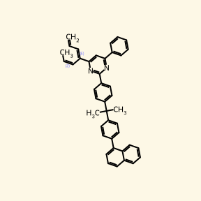 C=C/C=C(\C=C/C)c1cc(-c2ccccc2)nc(-c2ccc(C(C)(C)c3ccc(-c4cccc5ccccc45)cc3)cc2)n1